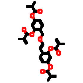 C=C(C)C(=O)Oc1ccc(/C=C/OCc2ccc(OC(=O)C(=C)C)cc2OC(=O)C(=C)C)c(OC(=O)C(=C)C)c1